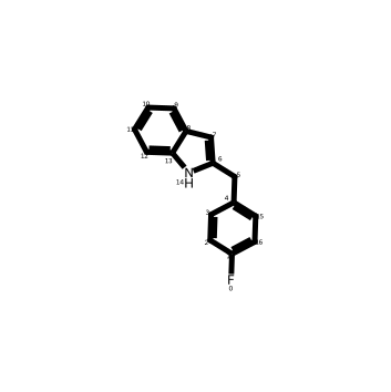 Fc1ccc(Cc2cc3ccccc3[nH]2)cc1